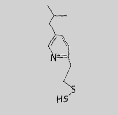 CC(C)Cc1ccc(CCSS)nc1